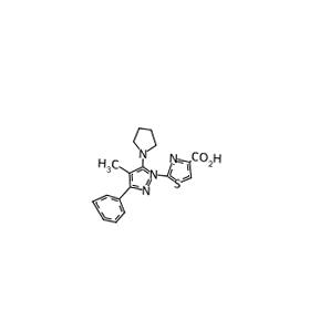 Cc1c(-c2ccccc2)nn(-c2nc(C(=O)O)cs2)c1N1CCCC1